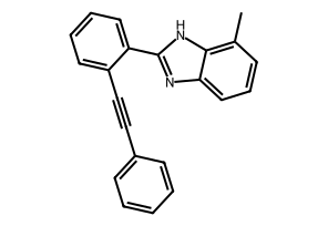 Cc1cccc2nc(-c3ccccc3C#Cc3ccccc3)[nH]c12